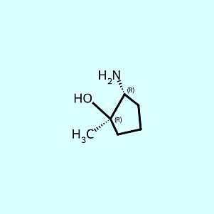 C[C@@]1(O)CCC[C@H]1N